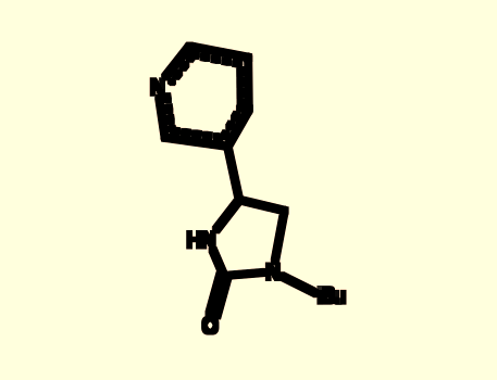 CCC(C)N1CC(c2cccnc2)NC1=O